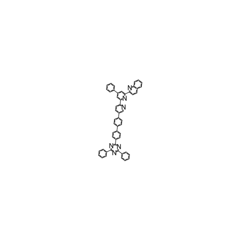 c1ccc(-c2cc(-c3ccc(-c4ccc(-c5ccc(-c6nc(-c7ccccc7)nc(-c7ccccc7)n6)cc5)cc4)cn3)nc(-c3ccc4ccccc4n3)c2)cc1